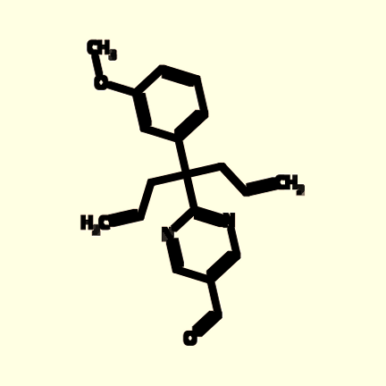 C=CCC(CC=C)(c1cccc(OC)c1)c1ncc(C=O)cn1